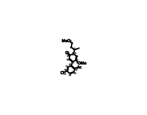 COCCC(C)n1cc(OC)c(-c2cc(Cl)ccc2C(C)=O)cc1=O